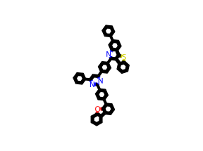 c1ccc(-c2ccc3c(c2)nc(-c2ccc(-c4cc(-c5ccccc5)nc(-c5ccc(-c6cccc7c6oc6ccccc67)cc5)n4)cc2)c2c4ccccc4sc32)cc1